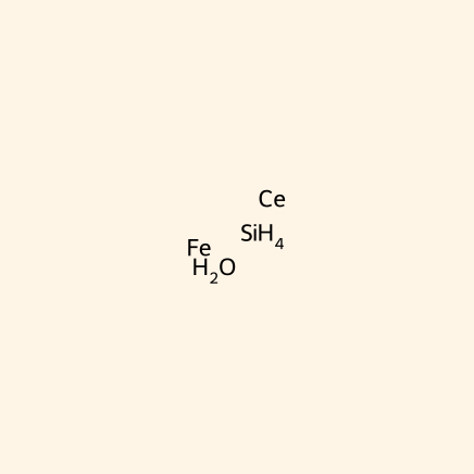 O.[Ce].[Fe].[SiH4]